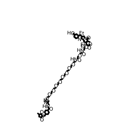 CCc1c2c(nc3ccc(O)cc13)-c1cc3c(c(=O)n1C2)COC(=O)[C@@]3(CC)OC(=O)CNC(=O)COCC(=O)NCCOCCOCCOCCOCCOCCOCCOCCOCCn1cc(CNC(=O)C2CCC(CN3C(=O)CC(C)C3=O)CC2)nn1